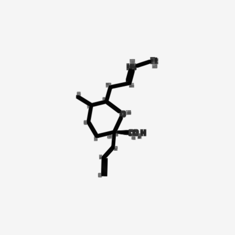 C=CC[C@]1(C(=O)O)CCC(C)C(CC=[SH]CC)O1